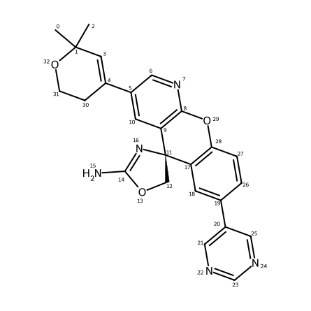 CC1(C)C=C(c2cnc3c(c2)[C@]2(COC(N)=N2)c2cc(-c4cncnc4)ccc2O3)CCO1